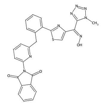 Cn1nnnc1C(=NO)c1csc(-c2ccccc2Cc2cccc(N3C(=O)c4ccccc4C3=O)n2)n1